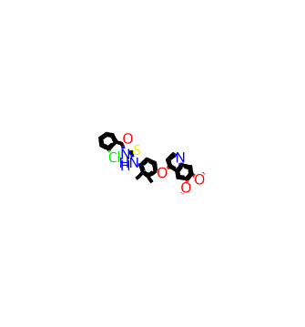 COc1cc2nccc(Oc3ccc(NC(=S)NC(=O)c4ccccc4Cl)c(C)c3C)c2cc1OC